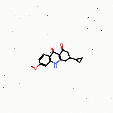 COc1ccc2c(=O)c3c([nH]c2c1)CC(C1CC1)CC3=O